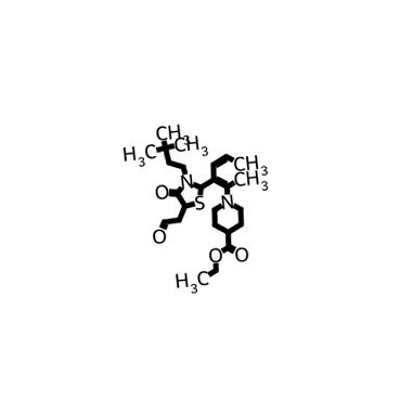 C/C=C\C(=C(/C)N1CCC(C(=O)OCC)CC1)C1SC(CC=O)C(=O)N1CCC(C)(C)C